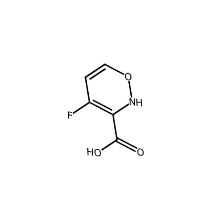 O=C(O)C1=C(F)C=CON1